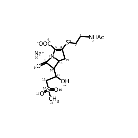 CC(=O)NCCSC1=C(C(=O)[O-])N2C(=O)C(C(O)CS(C)(=O)=O)C2C1.[Na+]